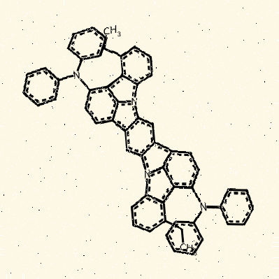 CCc1cccc2c1c1c(N(c3ccccc3)c3ccccc3)ccc3c4cc5c(cc4n2c31)c1ccc(N(c2ccccc2)c2ccccc2)c2c3c(CC)cccc3n5c12